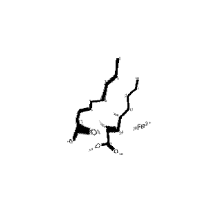 CCCCCC=CC(=O)[O-].CCCCCC=CC(=O)[O-].[Fe+2]